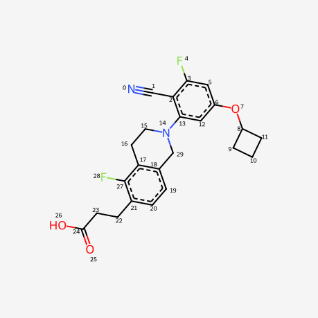 N#Cc1c(F)cc(OC2CCC2)cc1N1CCc2c(ccc(CCC(=O)O)c2F)C1